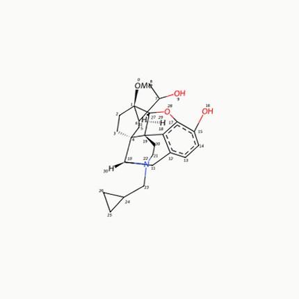 CO[C@]12CC[C@@]3(C[C@@H]1C(C)O)[C@H]1Cc4ccc(O)c5c4[C@@]3(CCN1CC1CC1)[C@H]2O5